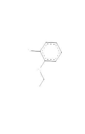 O=[N+]([O-])c1ccccc1NCC(F)(F)F